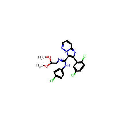 COC(C/N=C(\Nc1ccc(Cl)cc1)c1c(-c2cc(Cl)ccc2Cl)nc2cccnn12)OC